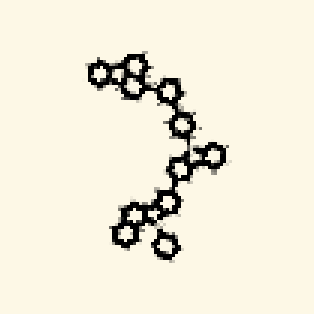 c1ccc(-n2c3ccc(-c4ccc5c(c4)c4ccccc4n5-c4ccc(-c5cccc(-c6ccc7c8c(cccc68)-c6ccccc6-7)c5)cc4)cc3c3ccc4ccccc4c32)cc1